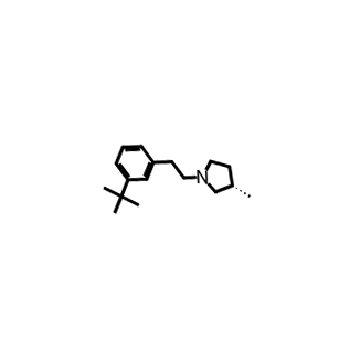 C[C@H]1CCN(CCc2cccc(C(C)(C)C)c2)C1